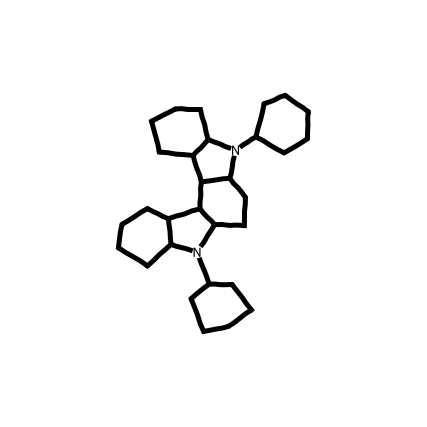 C1CCC(N2C3CCCCC3C3C4C5CCCCC5N(C5CCCCC5)C4CCC32)CC1